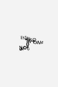 CCc1cc2c(N3CCN(C(=O)c4ccc(-n5cccn5)cc4)CC3)nc(SCC(=O)OC)nc2s1